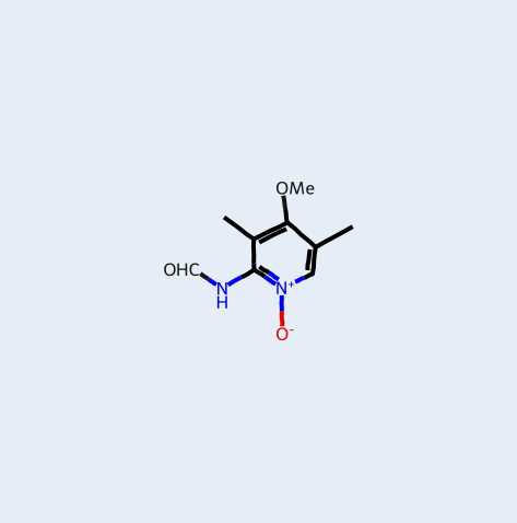 COc1c(C)c[n+]([O-])c(NC=O)c1C